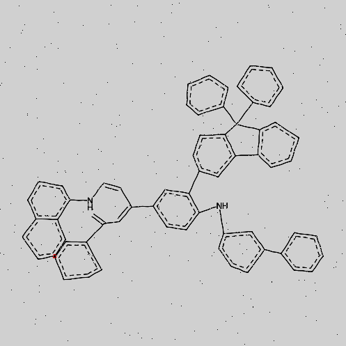 C=C(/C=C(\C=C/Nc1cccc2ccccc12)c1ccc(Nc2cccc(-c3ccccc3)c2)c(-c2ccc3c(c2)-c2ccccc2C3(c2ccccc2)c2ccccc2)c1)c1ccccc1